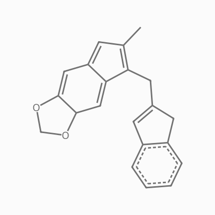 CC1=C(CC2=Cc3ccccc3C2)C2=CC3OCOC3=CC2=C1